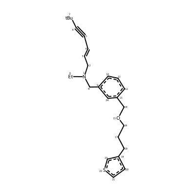 CCN(CC=CC#CC(C)(C)C)Cc1cccc(COCCCc2ccsc2)c1